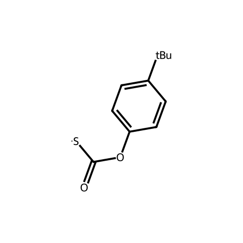 CC(C)(C)c1ccc(OC(=O)[S])cc1